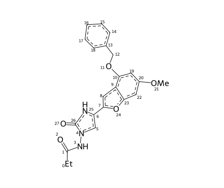 CCC(=O)Nn1cc(-c2cc3c(OCc4ccccc4)cc(OC)cc3o2)[nH]c1=O